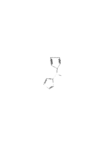 [Cl][W]([CH]1C=CC=C1)[CH]1C=CC=C1